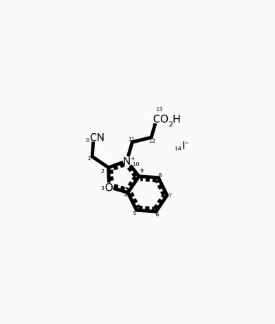 N#CCc1oc2ccccc2[n+]1CCC(=O)O.[I-]